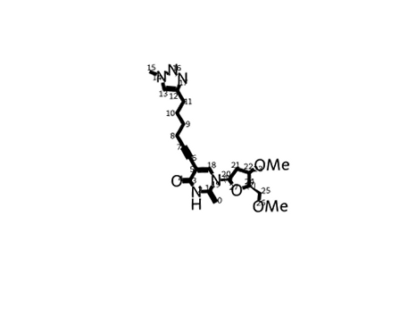 C=C1NC(=O)C(C#CCCCCc2cn(C)nn2)=CN1[C@H]1CC(OC)[C@@H](COC)O1